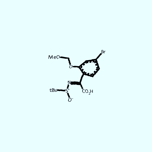 COCOc1cc(Br)ccc1C(=N[S+]([O-])C(C)(C)C)C(=O)O